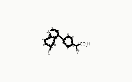 CCC(C(=O)O)c1ccc(-c2ccnc3ccc(F)cc23)cc1